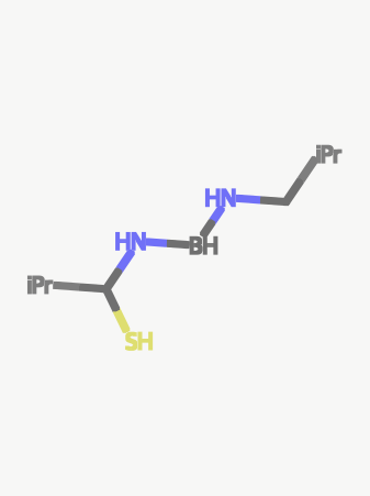 CC(C)CNBNC(S)C(C)C